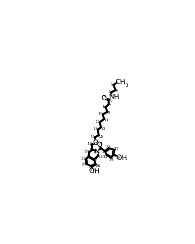 CCCCNC(=O)CCCCCCCCCCOCC1Cc2ccc(O)cc2CN1C(=O)c1ccc(O)cc1